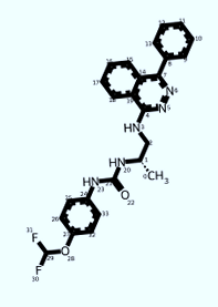 C[C@@H](CNc1nnc(-c2ccccc2)c2ccccc12)NC(=O)Nc1ccc(OC(F)F)cc1